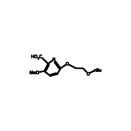 CCCCOCCOc1ccc(OC)c(C(=O)O)n1